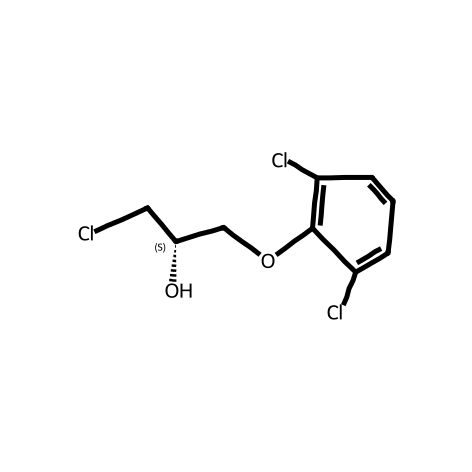 O[C@H](CCl)COc1c(Cl)cccc1Cl